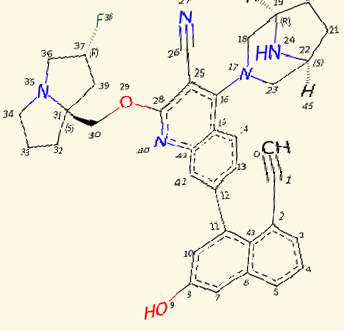 C#Cc1cccc2cc(O)cc(-c3ccc4c(N5C[C@H]6CC[C@@H](C5)N6)c(C#N)c(OC[C@@]56CCCN5C[C@H](F)C6)nc4c3)c12